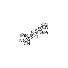 CCCOc1cc(C=C(C#N)C#N)sc1-c1cc2c(s1)-c1sc3cc(-c4sc(C=C(C#N)C#N)cc4OCCC)sc3c1C21CCCCC1